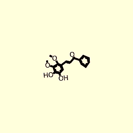 COc1c(C=CC(=O)c2ccccc2)cc(O)c(O)c1OC